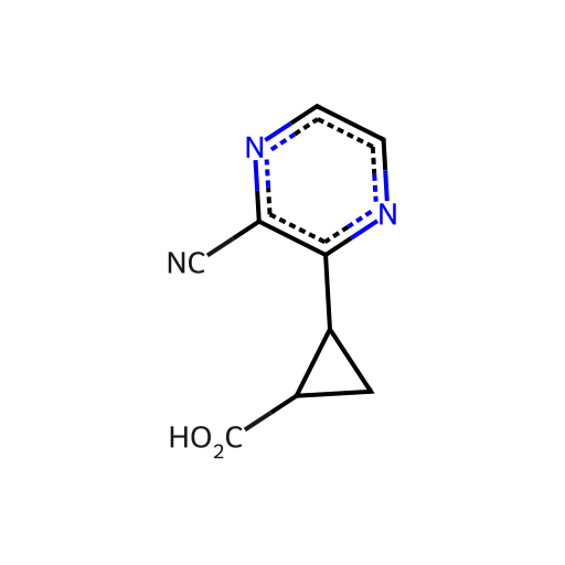 N#Cc1nccnc1C1CC1C(=O)O